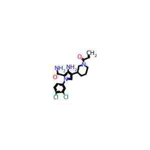 C=CC(=O)N1CCCC(c2cn(-c3ccc(Cl)c(Cl)c3)c(C(N)=O)c2N)C1